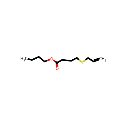 C=CCSCCCC(=O)OCCCC